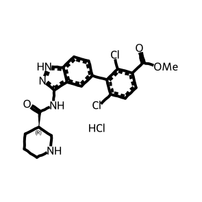 COC(=O)c1ccc(Cl)c(-c2ccc3[nH]nc(NC(=O)[C@@H]4CCCNC4)c3c2)c1Cl.Cl